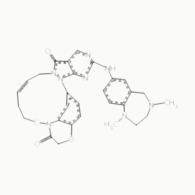 CN1CCN(C)c2ccc(Nc3ncc4c(=O)n5n(c4n3)-c3ccc4c(c3)N(CCC/C=C\C5)C(=O)CO4)cc2C1